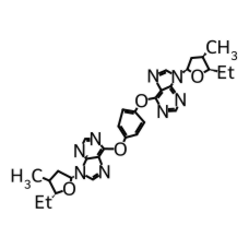 CC[C@H]1O[C@@H](n2cnc3c(Oc4ccc(Oc5ncnc6c5ncn6[C@H]5C[C@@H](C)[C@@H](CC)O5)cc4)ncnc32)CC1C